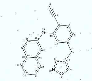 N#Cc1ccc(Cn2ccnc2)cc1Oc1ccc2ncccc2c1